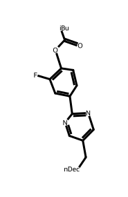 CCCCCCCCCCCc1cnc(-c2ccc(OC(=O)C(C)CC)c(F)c2)nc1